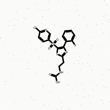 O=C(O)NCCc1nc(-c2ccccc2F)c(S(=O)(=O)c2ccc(Cl)nc2)s1